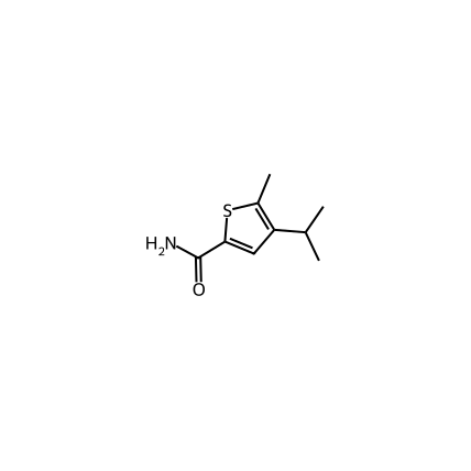 Cc1sc(C(N)=O)cc1C(C)C